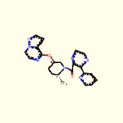 C[C@@H]1CC[C@@H](Oc2nccn3nccc23)CN1C(=O)c1nccnc1-c1ccccn1